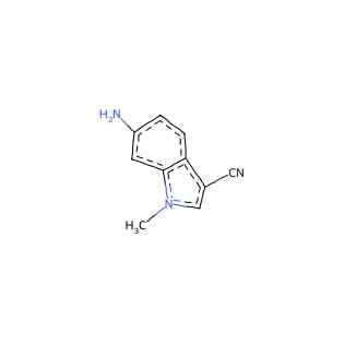 Cn1cc(C#N)c2ccc(N)cc21